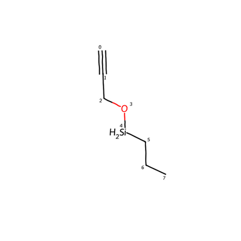 C#CCO[SiH2]CCC